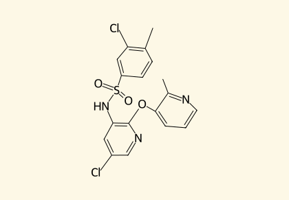 Cc1ccc(S(=O)(=O)Nc2cc(Cl)cnc2Oc2cccnc2C)cc1Cl